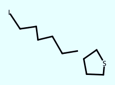 C1CCSC1.CCCCCCI